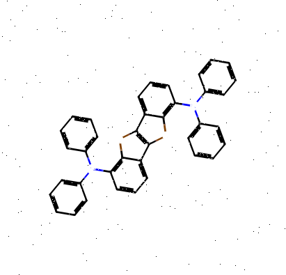 c1ccc(N(c2ccccc2)c2cccc3c2sc2c4cccc(N(c5ccccc5)c5ccccc5)c4sc32)cc1